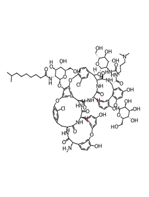 CC(=O)N[C@H]1[C@H](O[C@@H]2c3ccc(c(Cl)c3)Oc3cc4cc(c3O[C@@H]3O[C@H](CO)[C@@H](O)[C@H](O)[C@H]3NC(=O)CCCCCCC(C)C)Oc3ccc(cc3Cl)C[C@H]3NC(=O)[C@H](N)c5ccc(O)c(c5)Oc5cc(O)cc(c5)[C@H](NC3=O)C(=O)N[C@H]4C(=O)N[C@H]3C(=O)N[C@@H]2C(=O)N[C@H](C(=O)NCCCN(C)C)c2cc(O)cc(O[C@H]4O[C@H](CO)[C@@H](O)[C@H](O)[C@@H]4O)c2-c2cc3ccc2O)O[C@H](CO)[C@@H](O)[C@@H]1O